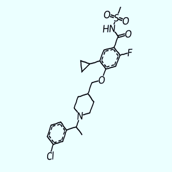 CC(c1cccc(Cl)c1)N1CCC(COc2cc(F)c(C(=O)NS(C)(=O)=O)cc2C2CC2)CC1